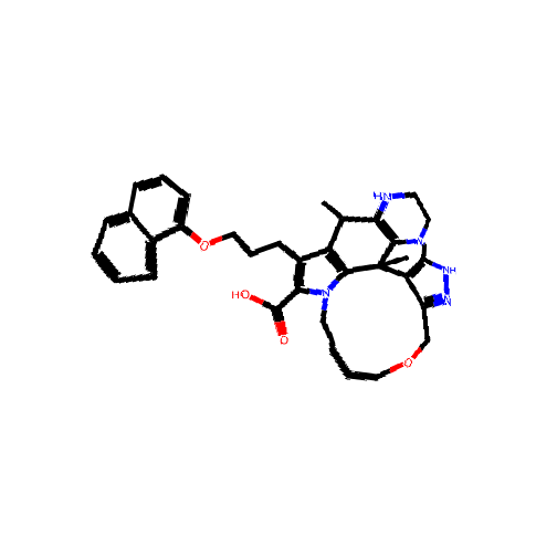 CC1C2=C3N(CCN2)Cc2[nH]nc4c2C3(C)c2c1c(CCCOc1cccc3ccccc13)c(C(=O)O)n2CCCCOC4